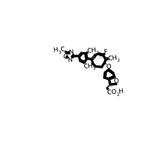 C=C1/C(F)=C\C=C(\c2c(C)cc(-c3noc(C)n3)cc2C)CCC[C@H]1Oc1ccc2c(c1)OC[C@H]2CC(=O)O